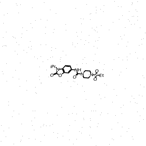 CCS(=O)(=O)N1CCN(C(=O)Nc2ccc3c(c2)oc(=O)n3C(C)C)CC1